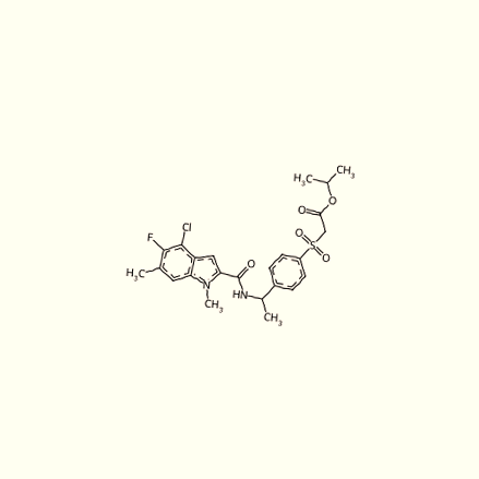 Cc1cc2c(cc(C(=O)NC(C)c3ccc(S(=O)(=O)CC(=O)OC(C)C)cc3)n2C)c(Cl)c1F